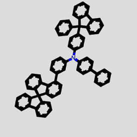 c1ccc(-c2ccc(N(c3ccc(C4(c5ccccc5)c5ccccc5-c5ccccc54)cc3)c3cccc(-c4cccc5c4-c4ccccc4C54c5ccccc5-c5ccccc54)c3)cc2)cc1